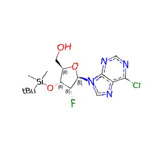 CC(C)(C)[Si](C)(C)O[C@H]1[C@@H](F)[C@H](n2cnc3c(Cl)ncnc32)O[C@@H]1CO